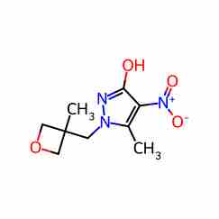 Cc1c([N+](=O)[O-])c(O)nn1CC1(C)COC1